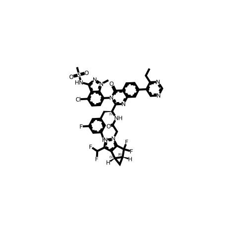 CCc1ncncc1-c1ccc2c(=O)n(-c3ccc(Cl)c4c(NS(C)(=O)=O)nn(C)c34)c([C@H](Cc3cc(F)cc(F)c3)NC(=O)Cn3nc(C(F)F)c4c3C(F)(F)[C@@H]3C[C@H]43)nc2c1